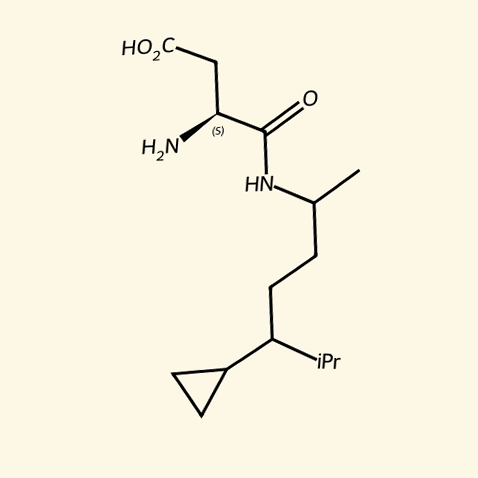 CC(CCC(C(C)C)C1CC1)NC(=O)[C@@H](N)CC(=O)O